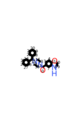 O=C(c1ccc2c(c1)NC=CO2)N1CCN(C(c2ccccc2)c2ccccc2)CC1